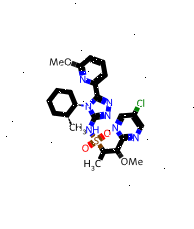 COc1cccc(-c2nnc(NS(=O)(=O)C(C)C(OC)c3ncc(Cl)cn3)n2[C@H]2CCCC[C@H]2C)n1